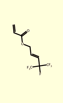 C=CC(=O)OCC=CC(F)(C(F)(F)F)C(F)(F)F